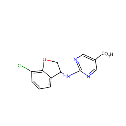 O=C(O)c1cnc(NC2COc3c(Cl)cccc32)nc1